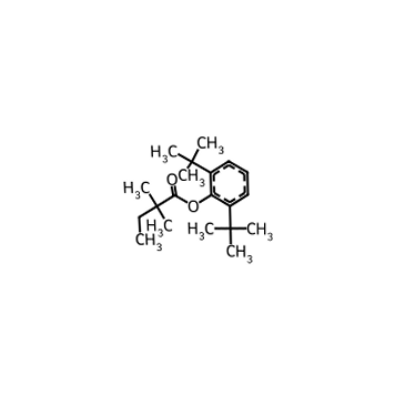 CCC(C)(C)C(=O)Oc1c(C(C)(C)C)cccc1C(C)(C)C